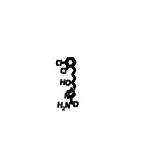 NC(=O)c1cn(C[C@@H](O)CCCc2cccc(Cl)c2Cl)cn1